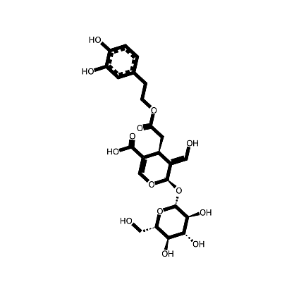 O=C(C[C@@H]1C(C(=O)O)=CO[C@H](O[C@H]2O[C@@H](CO)[C@H](O)[C@@H](O)[C@@H]2O)/C1=C/O)OCCc1ccc(O)c(O)c1